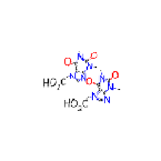 Cn1c(=O)c2c(ncn2CC(=O)O)n(C)c1=O.Cn1c(=O)c2c(ncn2CC(=O)O)n(C)c1=O